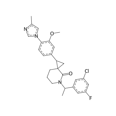 COc1cc(C2CC23CCCN(C(C)c2cc(F)cc(Cl)c2)C3=O)ccc1-n1cnc(C)c1